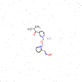 CC(C)C(=O)c1ccc[n+](COC[n+]2ccccc2C=NO)c1.[I-].[I-]